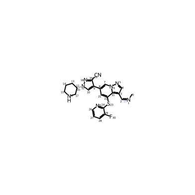 C/N=C\c1cnn2cc(-c3cn([C@H]4CCCNC4)nc3C#N)cc(Sc3ncccc3F)c12